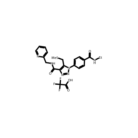 CCNC(=O)c1ccc(-n2nnc(C(=O)NCc3ccccn3)c2CSC)cc1.O=C(O)C(F)(F)F